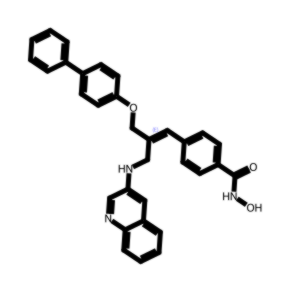 O=C(NO)c1ccc(/C=C(\CNc2cnc3ccccc3c2)COc2ccc(-c3ccccc3)cc2)cc1